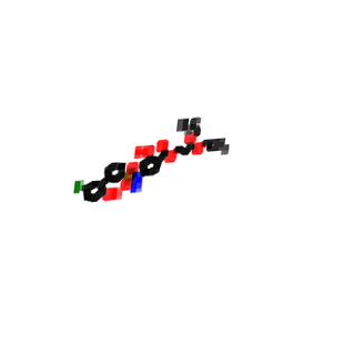 CCOC(CCOC(=O)c1ccc(NS(=O)(=O)c2cccc(-c3cc(F)ccc3O)c2)cc1O)OCC